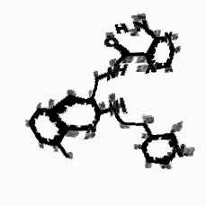 Cc1cccc2cc(CNC(=O)c3nccnc3N)c(NCCc3cccnc3)nc12